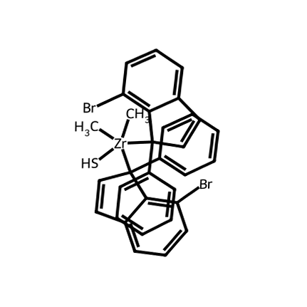 [CH3][Zr]([CH3])([SH])([C]1(c2ccccc2)C=Cc2cccc(Br)c21)[C]1(c2ccccc2)C=Cc2cccc(Br)c21